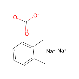 Cc1ccccc1C.O=C([O-])[O-].[Na+].[Na+]